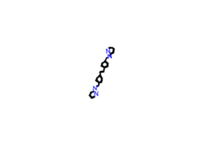 C(=C\c1ccc(/C=N/c2ccccn2)cc1)/c1ccc(/C=N/c2ccccn2)cc1